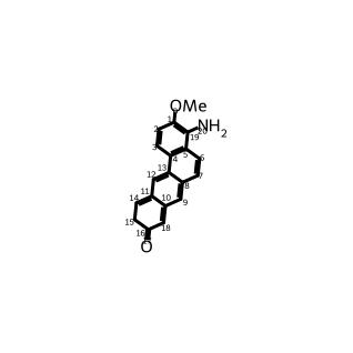 COc1ccc2c(ccc3cc4c(cc32)=CCC(=O)C=4)c1N